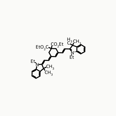 CCOC(=O)C1(C(=O)OCC)CC(/C=C/C2=[N+](CC)c3ccccc3C2(C)C)=CC(=C/C=C2/N(CC)c3ccccc3C2(C)C)/C1